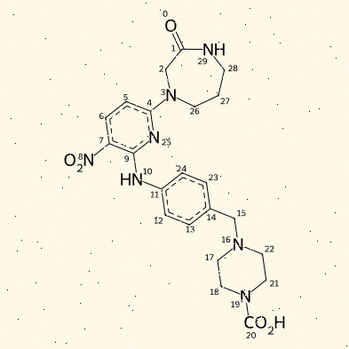 O=C1CN(c2ccc([N+](=O)[O-])c(Nc3ccc(CN4CCN(C(=O)O)CC4)cc3)n2)CCCN1